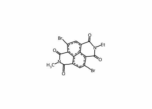 CCN1C(=O)c2cc(Br)c3c4c(cc(Br)c(c24)C1=O)C(=O)N(C)C3=O